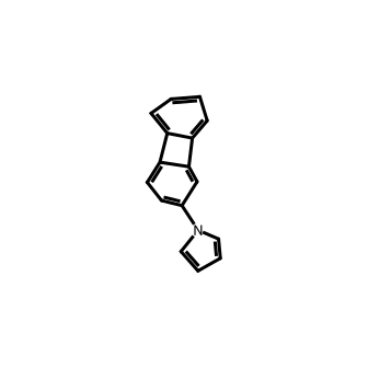 c1ccc2c(c1)-c1ccc(-n3cccc3)cc1-2